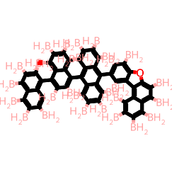 Bc1cc2c(-c3c(B)c(B)c(-c4c5c(B)c(B)c(B)c(B)c5c(-c5c(B)c(B)c6oc7c(B)c(B)c8c(B)c(B)c(B)c(B)c8c7c6c5B)c5c(B)c(B)c(B)c(B)c45)c4c(B)c(B)c(B)c(B)c34)c(B)c(B)c(B)c2c(B)c1B